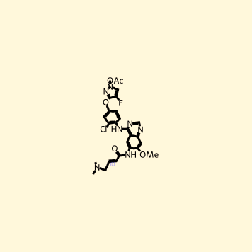 COc1cc2ncnc(Nc3ccc(Oc4nn(OC(C)=O)cc4F)cc3Cl)c2cc1NC(=O)/C=C/CN(C)C